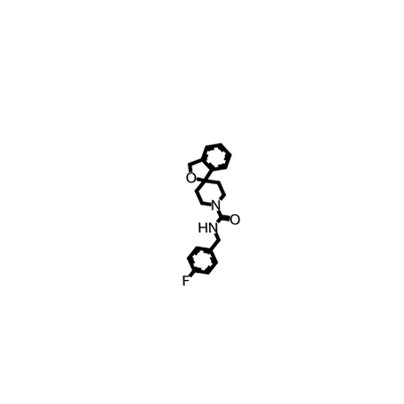 O=C(NCc1ccc(F)cc1)N1CCC2(CC1)OCc1ccccc12